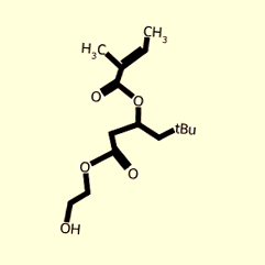 CC=C(C)C(=O)OC(CC(=O)OCCO)CC(C)(C)C